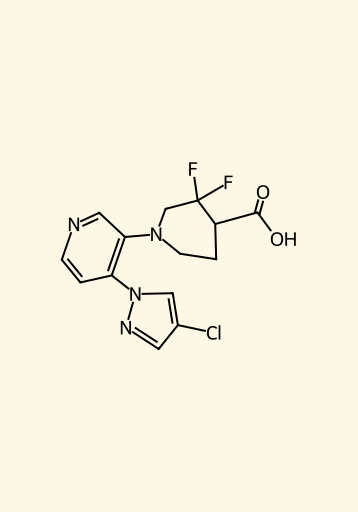 O=C(O)C1CCN(c2cnccc2-n2cc(Cl)cn2)CC1(F)F